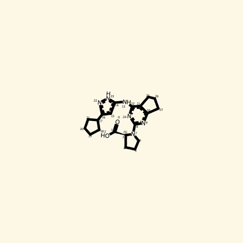 O=C(O)[C@@H]1CCCN1c1nc2c(c(Nc3cc(C4CCCC4)n[nH]3)n1)CCC2